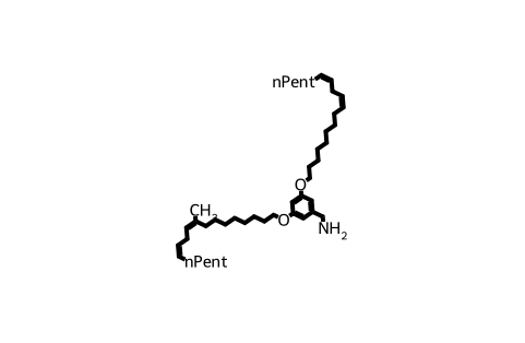 CCCCC/C=C\C/C=C\CCCCCCCCOc1cc(CN)cc(OCCCCCCCC/C(C)=C\C/C=C\CCCCC)c1